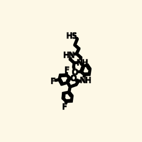 Cc1cccc(NC(=O)CC(c2ccc(F)cc2)c2cc(F)cc(F)c2)c1OCC1CNC(CCCS)CN1